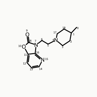 CC1CCN(CCn2c(=O)oc3cccnc32)CC1